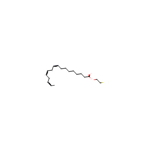 CC/C=C\C/C=C\C/C=C\CCCCCCCC(=O)OCCS